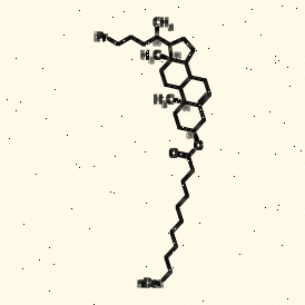 CCCCCCCCCCCCCCCCCCCC(=O)O[C@H]1CC[C@@]2(C)C(=CCC3C4CCC([C@H](C)CCCC(C)C)[C@@]4(C)CCC32)C1